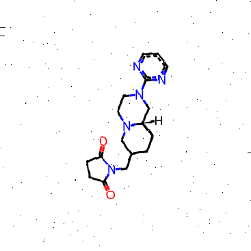 O=C1CCC(=O)N1CC1CC[C@H]2CN(c3ncccn3)CCN2C1